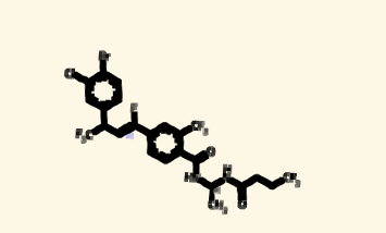 C[C@H](NC(=O)CCC(F)(F)F)NC(=O)c1ccc(/C(F)=C/C(c2ccc(Br)c(Cl)c2)C(F)(F)F)cc1C(F)(F)F